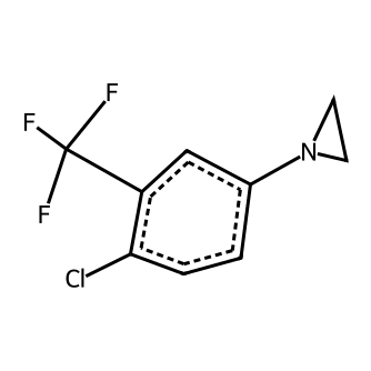 FC(F)(F)c1cc(N2CC2)ccc1Cl